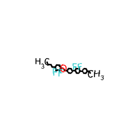 CCCCC1CCC(OCC2CCC(C3CCC(C4CCC(CC)CC4)C(F)C3F)CC2)C(F)C1F